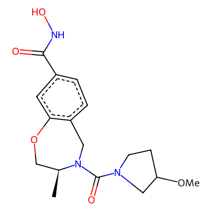 COC1CCN(C(=O)N2Cc3ccc(C(=O)NO)cc3OC[C@@H]2C)C1